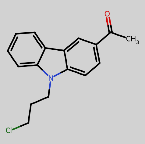 CC(=O)c1ccc2c(c1)c1ccccc1n2CCCCl